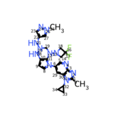 Cc1nc2ncc(-n3ccc4c3N(N3CC(F)(F)C3)CN(Nc3cnn(C)c3)N4)cc2n1C1CC1